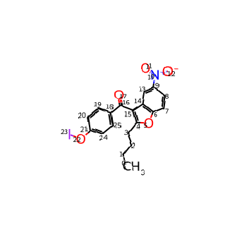 CCCCc1oc2ccc([N+](=O)[O-])cc2c1C(=O)c1ccc(OI)cc1